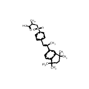 CC(=Cc1ccc(S(=O)(=O)CC(C)C(=O)O)cc1)c1ccc2c(c1)C(C)(C)CCC2(C)C